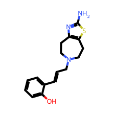 Nc1nc2c(s1)CCN(C/C=C/c1ccccc1O)CC2